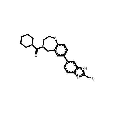 Cc1nc2ccc(-c3ccc4c(c3)CN(C(=O)N3CCCCC3)CCO4)cc2[nH]1